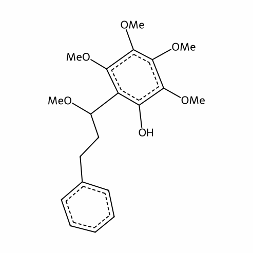 COc1c(O)c(C(CCc2ccccc2)OC)c(OC)c(OC)c1OC